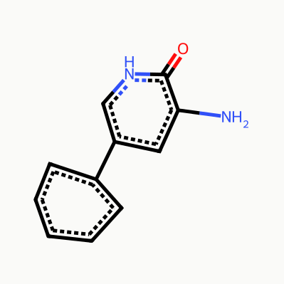 Nc1cc(-c2ccccc2)c[nH]c1=O